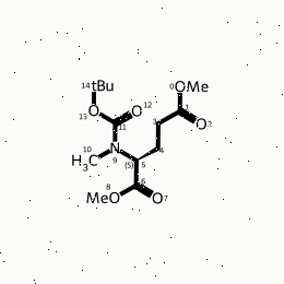 COC(=O)CC[C@@H](C(=O)OC)N(C)C(=O)OC(C)(C)C